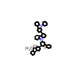 CC1(C)c2ccccc2-c2ccc(-c3cc(-n4c5c(c6c(-c7ccc8c9ccccc9n(-c9ccccc9)c8c7)cccc64)CCC=C5)cc4c3sc3ccccc34)cc21